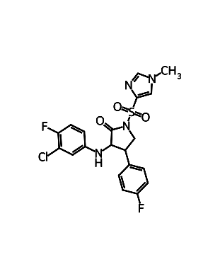 Cn1cnc(S(=O)(=O)N2CC(c3ccc(F)cc3)C(Nc3ccc(F)c(Cl)c3)C2=O)c1